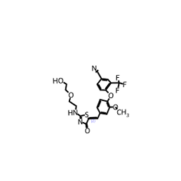 COc1cc(/C=C2\SC(NCCOCCO)=NC2=O)ccc1Oc1ccc(C#N)cc1C(F)(F)F